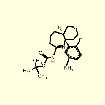 CC(C)(C)OC(=O)NC1=N[C@@]2(c3cc(N)ccc3F)CCOC[C@@H]2CCC1